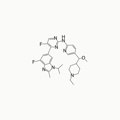 CCN1CCC(C(OC)c2ccc(Nc3ncc(F)c(-c4cc(F)c5nc(C)n(C(C)C)c5c4)n3)nc2)CC1